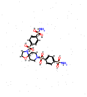 NS(=O)(=O)c1ccc(S(=O)(=O)N2CCC3(CC2)OCCN3S(=O)(=O)c2ccc(S(N)(=O)=O)cc2)cc1